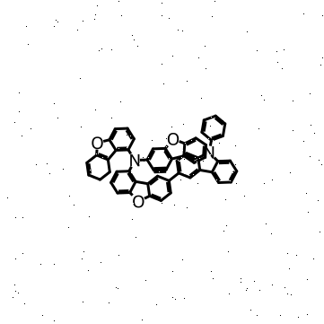 c1c(N(c2cccc3oc4c(c23)CCC=C4)c2cccc3oc4ccc(-c5ccc6c(c5)c5ccccc5n6-c5ccccc5)cc4c23)cc2oc3ccccc3c2c#1